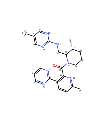 Cc1ccc(-c2ncccn2)c(C(=O)N2CCC[C@@H](C)C2CNc2ncc(C(F)(F)F)cn2)n1